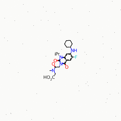 CC(C)n1c(=O)n(CC(=O)N(C)CC(=O)O)c(=O)c2cc(F)c(NC3CCCCC3)cc21